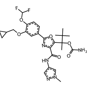 Cn1cc(NC(=O)c2nc(-c3ccc(OC(F)F)c(OCC4CC4)c3)oc2C(C)(OC(N)=O)C(C)(C)C)cn1